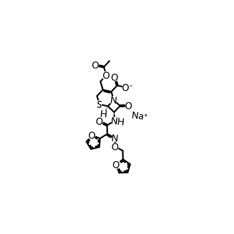 CC(=O)OCC1=C(C(=O)[O-])N2C(=O)[C@@H](NC(=O)C(=NOCc3ccco3)c3ccco3)[C@H]2SC1.[Na+]